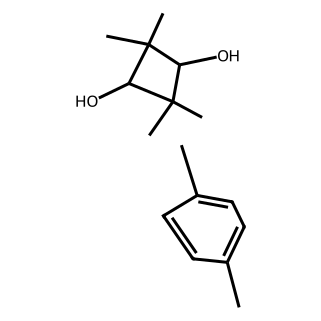 CC1(C)C(O)C(C)(C)C1O.Cc1ccc(C)cc1